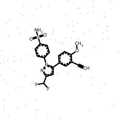 C#Cc1cc(-c2cc(C(F)F)nn2-c2ccc(S(N)(=O)=O)cc2)ccc1OC